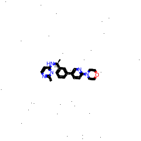 Cc1nccc(N[C@@H](C)c2cccc(-c3ccc(N4CCOCC4)nc3)c2)n1